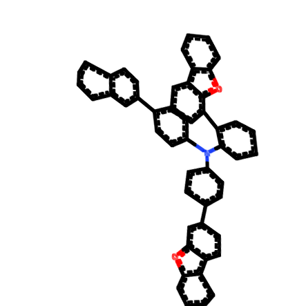 c1ccc(N(c2ccc(-c3ccc4ccccc4c3)cc2)c2ccc(-c3ccc4c(c3)oc3ccccc34)cc2)c(-c2cccc3c2oc2ccccc23)c1